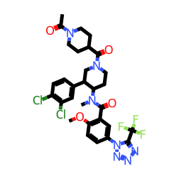 COc1ccc(-n2nnnc2C(F)(F)F)cc1C(=O)N(C)C1CCN(C(=O)C2CCN(C(C)=O)CC2)CC1c1ccc(Cl)c(Cl)c1